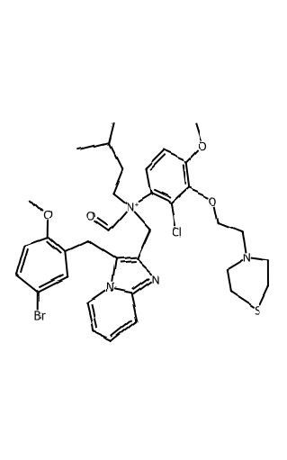 COc1ccc(Br)cc1Cc1c(C[N+](C=O)(CCC(C)C)c2ccc(OC)c(OCCN3CCSCC3)c2Cl)nc2ccccn12